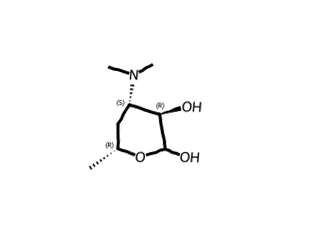 C[C@@H]1C[C@H](N(C)C)[C@@H](O)C(O)O1